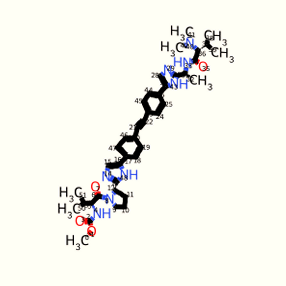 COC(=O)N[C@H](C(=O)N1CCC[C@H]1c1ncc(-c2ccc(C#Cc3ccc(-c4cnc([C@H](C)NC(=O)[C@@H](C(C)C)N(C)C)[nH]4)cc3)cc2)[nH]1)C(C)C